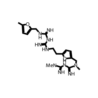 CNC(=N)NC(=N)N(C)Cc1ccc(CCNC(=N)NC(=N)NCc2ccc(C)o2)o1